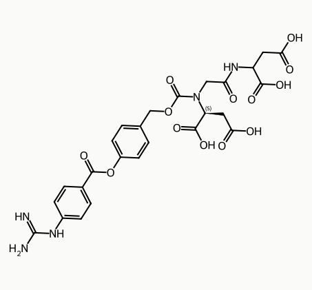 N=C(N)Nc1ccc(C(=O)Oc2ccc(COC(=O)N(CC(=O)NC(CC(=O)O)C(=O)O)[C@@H](CC(=O)O)C(=O)O)cc2)cc1